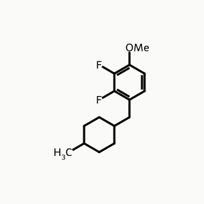 COc1ccc(CC2CCC(C)CC2)c(F)c1F